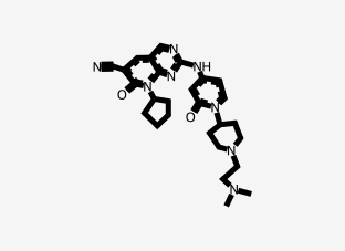 CN(C)CCN1CCC(n2ccc(Nc3ncc4cc(C#N)c(=O)n(C5CCCC5)c4n3)cc2=O)CC1